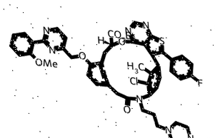 CCOC(=O)[C@H]1Cc2cc(ccc2OCc2ccnc(-c3ccccc3OC)n2)CC(=O)N(CCCN2CCN(C)CC2)c2ccc(c(C)c2Cl)-c2c(-c3ccc(F)cc3)sc3ncnc(c23)O1